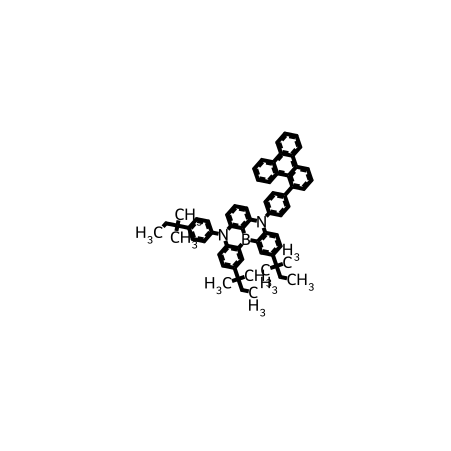 CCC(C)(C)c1ccc(N2c3ccc(C(C)(C)CC)cc3B3c4cc(C(C)(C)CC)ccc4N(c4ccc(-c5cccc6c7ccccc7c7ccccc7c56)cc4)c4cccc2c43)cc1